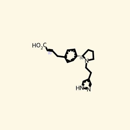 O=C(O)/C=C/Cc1ccc([C@@H]2CCCN2CCc2cn[nH]c2)cc1